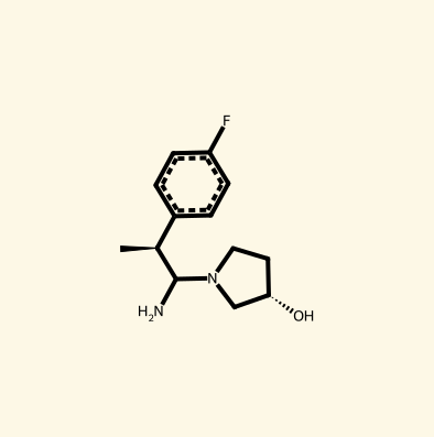 C[C@@H](c1ccc(F)cc1)C(N)N1CC[C@H](O)C1